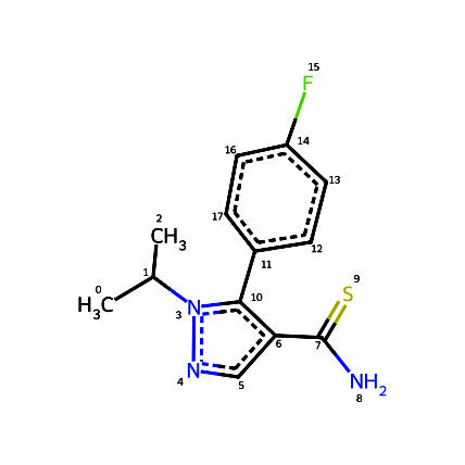 CC(C)n1ncc(C(N)=S)c1-c1ccc(F)cc1